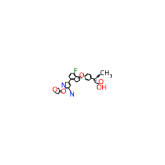 CC#C[C@@H](CC(=O)O)c1ccc(O[C@@H]2CCc3c(-c4cnc(O[C@@H]5CCOC5)c(C#N)c4)ccc(F)c32)cc1